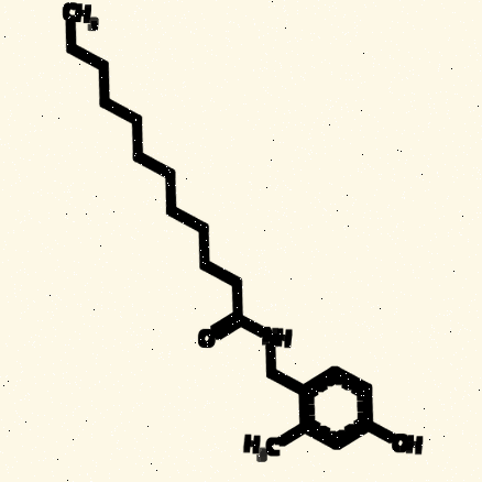 CCCCCCCCCCCC(=O)NCc1ccc(O)cc1C